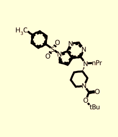 CCCN(c1ncnc2c1ccn2S(=O)(=O)c1ccc(C)cc1)[C@H]1CCCN(C(=O)OC(C)(C)C)C1